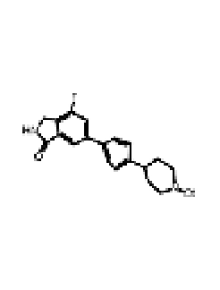 CCN1CCC(c2ccc(-c3cc(F)c4c(c3)C(=O)NC4)cc2)CC1